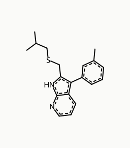 Cc1cccc(-c2c(CSCC(C)C)[nH]c3ncccc23)c1